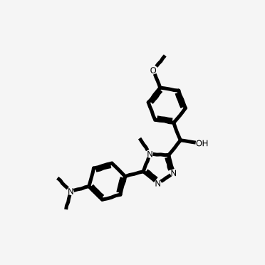 COc1ccc(C(O)c2nnc(-c3ccc(N(C)C)cc3)n2C)cc1